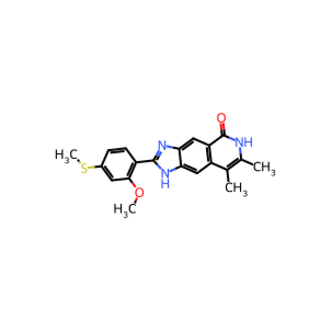 COc1cc(SC)ccc1-c1nc2cc3c(=O)[nH]c(C)c(C)c3cc2[nH]1